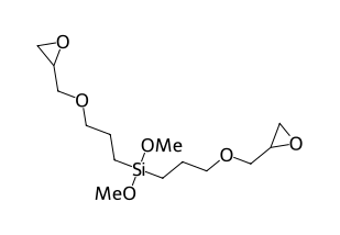 CO[Si](CCCOCC1CO1)(CCCOCC1CO1)OC